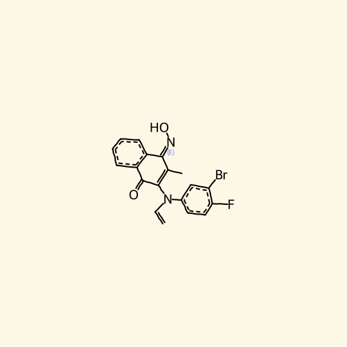 C=CN(C1=C(C)/C(=N/O)c2ccccc2C1=O)c1ccc(F)c(Br)c1